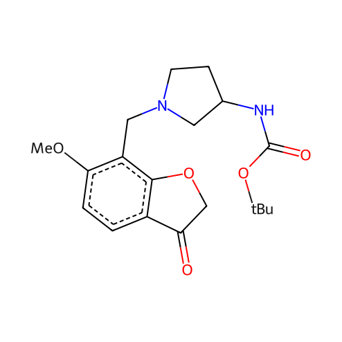 COc1ccc2c(c1CN1CCC(NC(=O)OC(C)(C)C)C1)OCC2=O